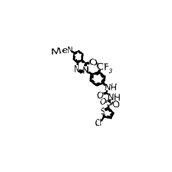 CNc1ccc2c(=O)n(-c3ccc(NC(=O)NS(=O)(=O)c4ccc(Cl)s4)cc3C(F)(F)F)cnc2c1